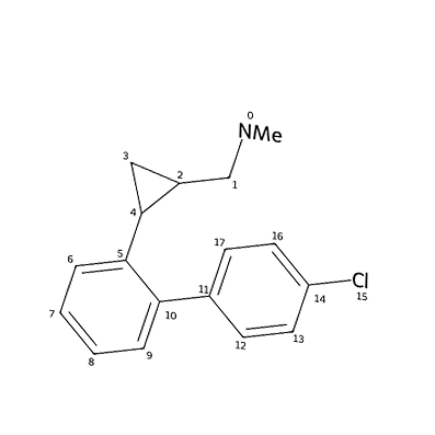 CNCC1CC1c1ccccc1-c1ccc(Cl)cc1